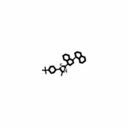 Cc1nc(-c2ccc(-c3cccc4ccccc34)c3ccccc23)sc1-c1ccc(C(C)(C)C)cc1